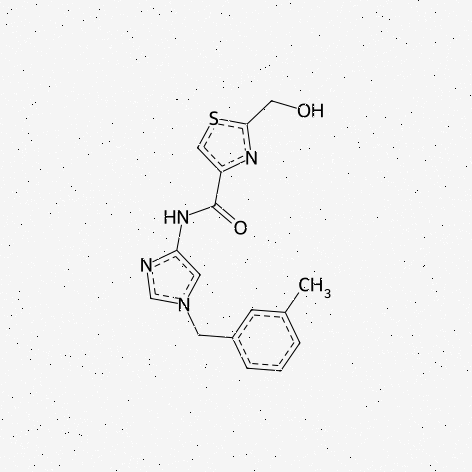 Cc1cccc(Cn2cnc(NC(=O)c3csc(CO)n3)c2)c1